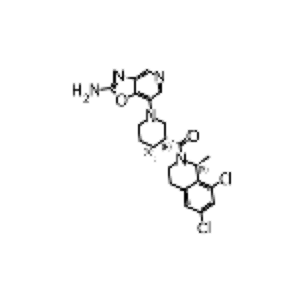 C[C@@H]1CCN(c2cncc3nc(N)oc23)C[C@@H]1C(=O)N1CCc2cc(Cl)cc(Cl)c2[C@@H]1C